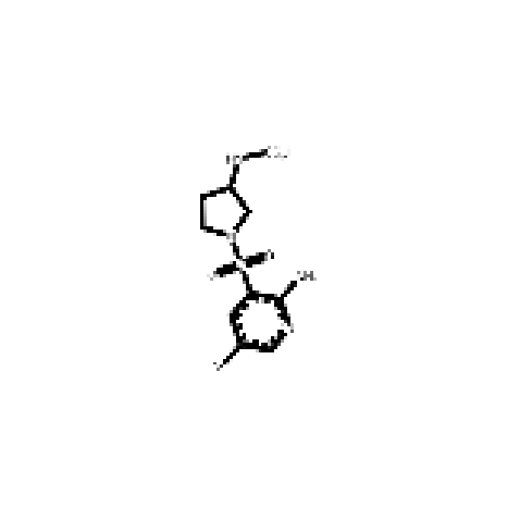 Nc1ncc(Br)cc1S(=O)(=O)N1CCC(NC(=O)O)C1